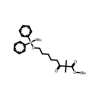 CC(C)(C)OC(=O)C(C)(C)C(=O)CCCCCO[Si](c1ccccc1)(c1ccccc1)C(C)(C)C